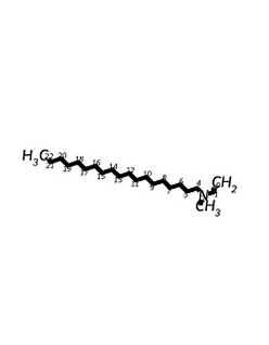 C=CN(C)CCCCCCCCCCCCCCCCCCC